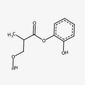 CCCOCC(C)C(=O)Oc1ccccc1O